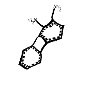 Nc1ccc2c(c1N)-c1ccccc1-2